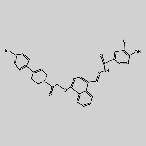 O=C(N/N=C/c1ccc(OCC(=O)N2CC=C(c3ccc(Br)cc3)CC2)c2ccccc12)c1ccc(O)c(Cl)c1